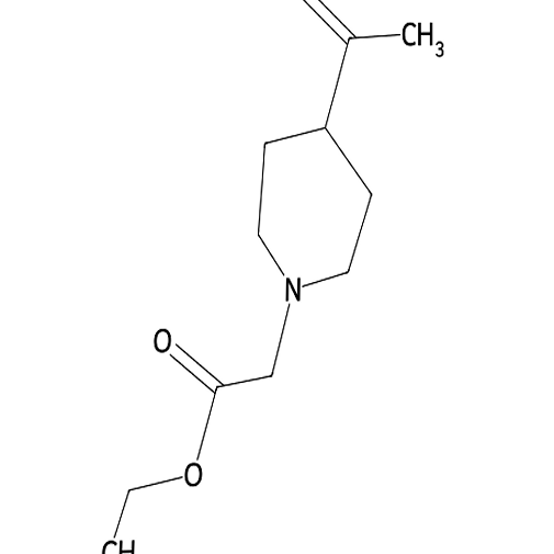 CCOC(=O)CN1CCC(C(C)=O)CC1